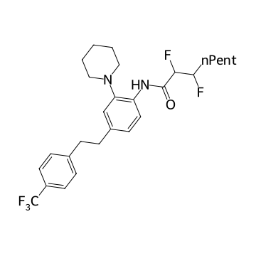 CCCCCC(F)C(F)C(=O)Nc1ccc(CCc2ccc(C(F)(F)F)cc2)cc1N1CCCCC1